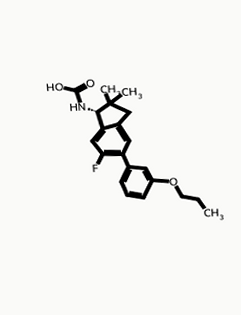 CCCOc1cccc(-c2cc3c(cc2F)[C@H](NC(=O)O)C(C)(C)C3)c1